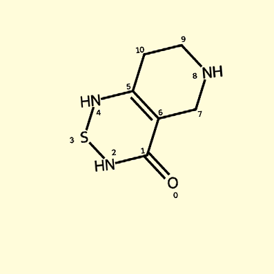 O=C1NSNC2=C1CNCC2